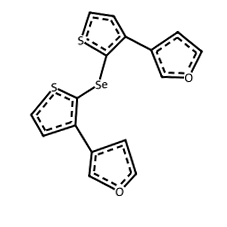 c1cc(-c2ccsc2[Se]c2sccc2-c2ccoc2)co1